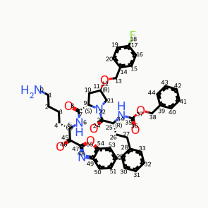 NCCCC[C@H](NC(=O)[C@@H]1C[C@@H](OCc2ccc(F)cc2)CN1C(=O)[C@@H](CCc1ccccc1)NC(=O)OCc1ccccc1)C(=O)c1nc2ccccc2o1